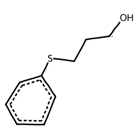 O[CH]CCSc1ccccc1